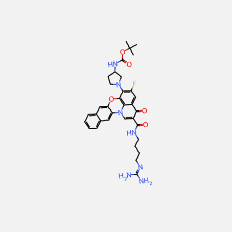 CC(C)(C)OC(=O)N[C@@H]1CCN(c2c(F)cc3c(=O)c(C(=O)NCCCCN=C(N)N)cn4c3c2Oc2cc3ccccc3cc2-4)C1